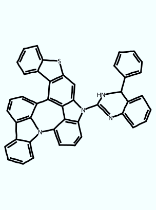 c1ccc(C2NC(n3c4cc5sc6ccccc6c5c5c6cccc7c8ccccc8n(c8cccc3c8c54)c76)=Nc3ccccc32)cc1